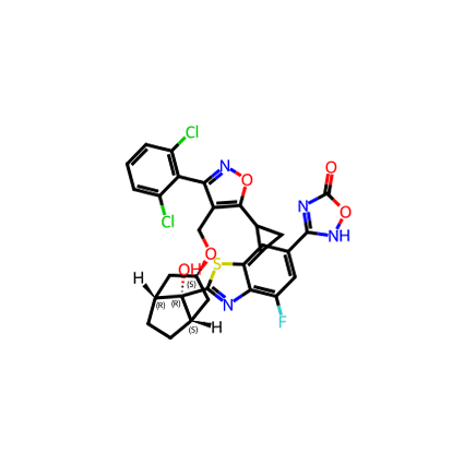 O=c1nc(-c2cc(F)c3nc([C@]4(O)[C@@H]5CC[C@H]4C[C@H](OCc4c(-c6c(Cl)cccc6Cl)noc4C4CC4)C5)sc3c2)[nH]o1